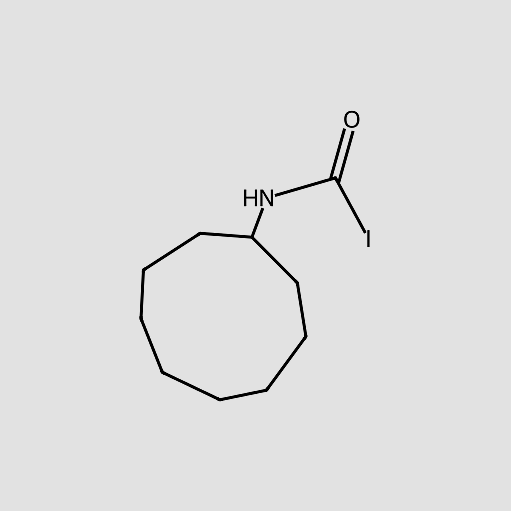 O=C(I)NC1CCCCCCCC1